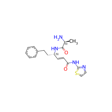 C[C@H](N)C(=O)N[C@H](C=CC(=O)Nc1nccs1)CCc1ccccc1